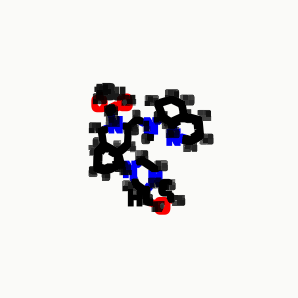 CN(C[C@H]1Cc2c(cccc2N2CCN3CCOC[C@H]3C2)CN1C(=O)OC(C)(C)C)[C@H]1CCCc2cccnc21